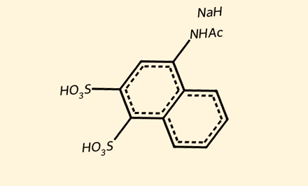 CC(=O)Nc1cc(S(=O)(=O)O)c(S(=O)(=O)O)c2ccccc12.[NaH]